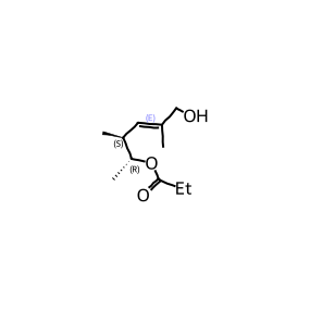 CCC(=O)O[C@H](C)[C@@H](C)/C=C(\C)CO